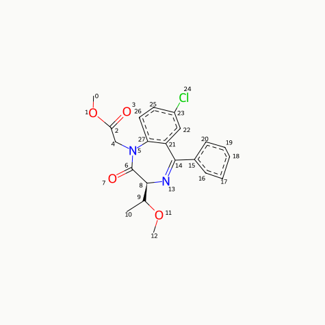 COC(=O)CN1C(=O)[C@H](C(C)OC)N=C(c2ccccc2)c2cc(Cl)ccc21